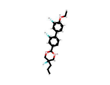 CCCC1(F)COC(c2ccc(-c3ccc(OCC)c(F)c3)c(F)c2)OC1